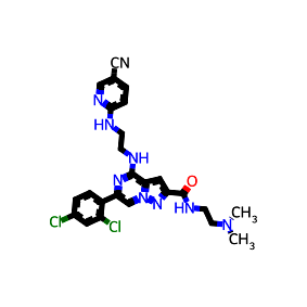 CN(C)CCNC(=O)c1cc2c(NCCNc3ccc(C#N)cn3)nc(-c3ccc(Cl)cc3Cl)cn2n1